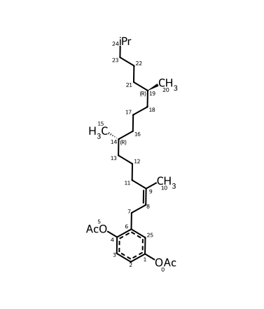 CC(=O)Oc1ccc(OC(C)=O)c(CC=C(C)CCC[C@H](C)CCC[C@H](C)CCCC(C)C)c1